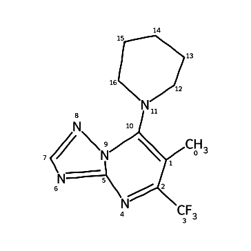 Cc1c(C(F)(F)F)nc2ncnn2c1N1CCCCC1